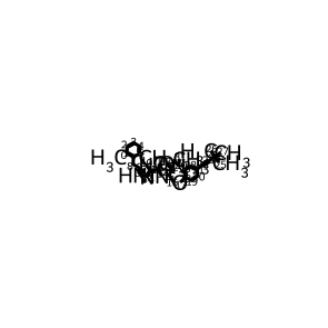 Cc1cccc(C)c1Cc1nc(C(=O)NC2COc3ccc(C#CC(C)(C)C)cc3N(C)C2=O)n[nH]1